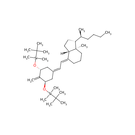 C=C1[C@H](O[Si](C)(C)C(C)(C)C)CC(=C/C=C2\CCC[C@]3(C)[C@@H]([C@@H](C)CCCC)CC[C@@H]23)C[C@H]1O[Si](C)(C)C(C)(C)C